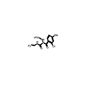 CCCCCCCCNN(C(=O)NCN)C(=O)c1ccc(O)cc1O